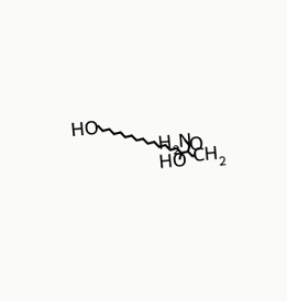 C=CC(C(N)=O)C(O)CCCCCCCCCCCCCCCO